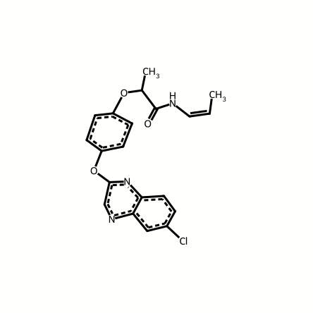 C/C=C\NC(=O)C(C)Oc1ccc(Oc2cnc3cc(Cl)ccc3n2)cc1